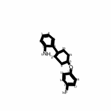 Nc1ccccc1C1CCC(Oc2ccc(F)cc2)CC1